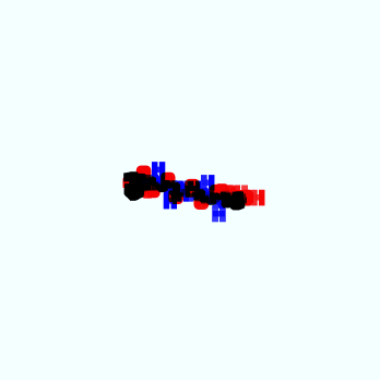 O=C(CNC(=O)CNC(=O)CN1C(=O)c2cccc3cccc(c23)C1=O)NCC(=O)NCC(=O)NCC(=O)NC(Cc1ccc(O)cc1)C(=O)O